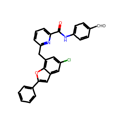 O=Cc1ccc(NC(=O)c2cccc(Cc3cc(Cl)cc4cc(-c5ccccc5)oc34)n2)cc1